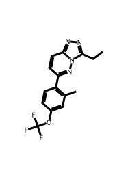 CCc1nnc2ccc(-c3ccc(OC(F)(F)F)cc3C)nn12